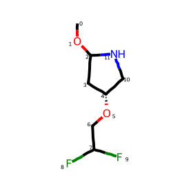 COC1C[C@@H](OCC(F)F)CN1